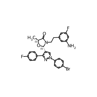 C[C@@H]1O[C@@H](c2cn(-c3ccc(Br)cc3)nc2-c2ccc(F)cc2)N(CCc2cc(N)cc(F)c2)C1=O